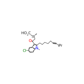 CC(C)C#CCCCCCc1c(C(=O)C[C@H](C)CC(=O)O)c2cc(Cl)ccc2n1C